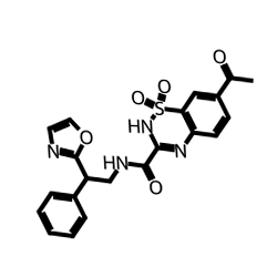 CC(=O)c1ccc2c(c1)S(=O)(=O)NC(C(=O)NCC(c1ccccc1)c1ncco1)=N2